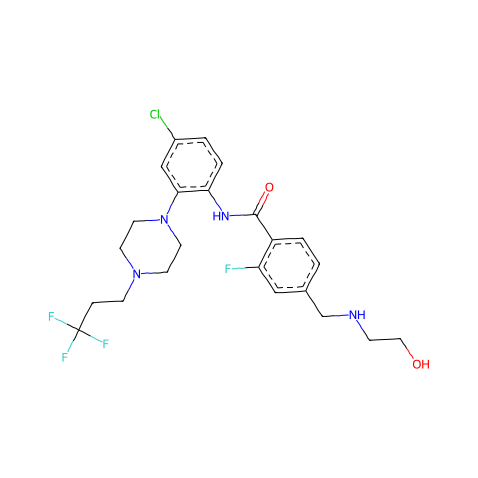 O=C(Nc1ccc(Cl)cc1N1CCN(CCC(F)(F)F)CC1)c1ccc(CNCCO)cc1F